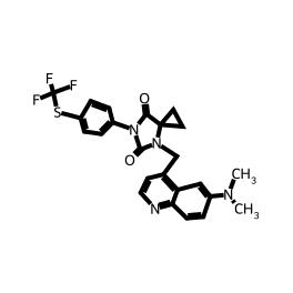 CN(C)c1ccc2nccc(CN3C(=O)N(c4ccc(SC(F)(F)F)cc4)C(=O)C34CC4)c2c1